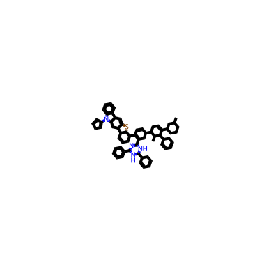 CC1CCCC(C2=CCC(C3C=CC(C4CC=CC5C6CC7C(C=C6SC45)c4ccccc4N7C4=CCC=C4)=C(C4=NC(c5ccccc5)NC(C5C=CC=CC5)N4)C3)C(C)C2C2C=CC=CC2)C1